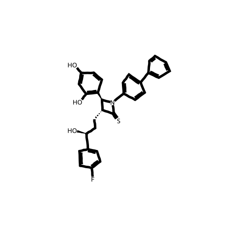 Oc1ccc([C@@H]2[C@@H](CC[C@H](O)c3ccc(F)cc3)C(=S)N2c2ccc(-c3ccccc3)cc2)c(O)c1